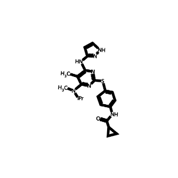 Cc1c(Nc2cc[nH]n2)nc(Sc2ccc(NC(=O)C3CC3)cc2)nc1N(C)C(C)C